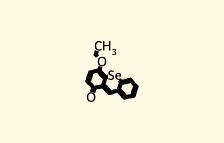 CCOc1ccc(=O)c2cc3ccccc3[se]c1-2